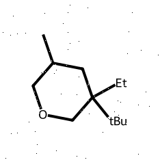 CCC1(C(C)(C)C)COCC(C)C1